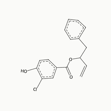 C=CC(Cc1ccccc1)OC(=O)c1ccc(O)c(Cl)c1